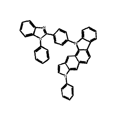 c1ccc(-n2ccc3cc4c(ccc5c6ccccc6n(-c6ccc(-c7nc8ccccc8n7-c7ccccc7)cc6)c45)cc32)cc1